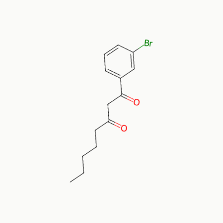 CCCCCC(=O)CC(=O)c1cccc(Br)c1